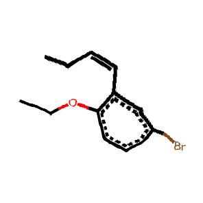 CC/C=C\c1cc(Br)ccc1OCC